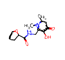 Cc1cc(=O)c(O)c(CNC(=O)C2CC=CO2)n1C